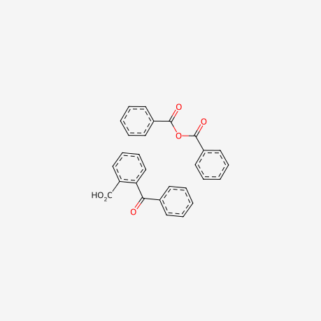 O=C(O)c1ccccc1C(=O)c1ccccc1.O=C(OC(=O)c1ccccc1)c1ccccc1